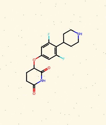 O=C1CCC(Oc2cc(F)c(C3CCNCC3)c(F)c2)C(=O)N1